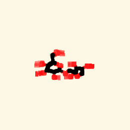 OC[C@H]1O[C@H](OC[C@@]2(O)OC[C@@H](O)[C@@H]2O)[C@H](O)[C@@H](O)[C@@H]1O